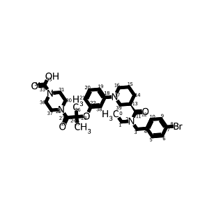 CCN(Cc1ccc(Br)cc1)C(=O)[C@@H]1CCCN(c2cccc(OC(C)(C)C(=O)N3CCN(C(=O)O)CC3)c2)C1